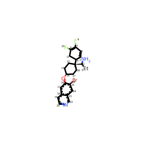 CCC(N)[C@]1(C2C=CC(F)=C(F)C2)CC[C@H](Oc2cc3ccncc3cc2Br)CC1